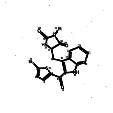 CCc1ccc(C(=O)c2[nH]c3ccccc3c2CC2NC(=O)N(CC)C2=O)s1